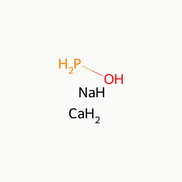 OP.[CaH2].[NaH]